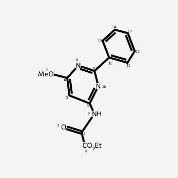 CCOC(=O)C(=O)Nc1cc(OC)nc(-c2ccccc2)n1